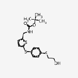 CC(C)(C)OC(=O)NCc1ccc(Sc2ccc(SCCO)cc2)s1